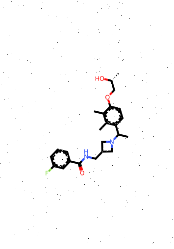 Cc1c(OC[C@@H](C)O)ccc(C(C)N2CC(CNC(=O)c3cccc(F)c3)C2)c1C